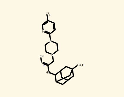 N#C/N=C(\CN1CCN(c2ccc(C(F)(F)F)cn2)CC1)NC1C2CC3CC1CC(C(=O)O)(C3)C2